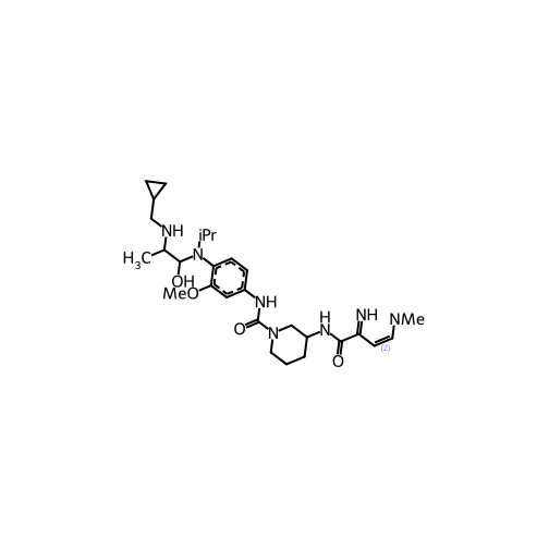 CN/C=C\C(=N)C(=O)NC1CCCN(C(=O)Nc2ccc(N(C(C)C)C(O)C(C)NCC3CC3)c(OC)c2)C1